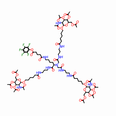 CC(=O)NC1C(OCCCCCC(=O)NCCCNC(=O)CN(CC(=O)NCCCNC(=O)CCCCCOC2OC(COC(C)=O)C(OC(C)=O)C(OC(C)=O)C2NC(C)=O)C(CCCCNC(=O)CCCC(=O)Oc2c(F)c(F)c(F)c(F)c2F)C(=O)NCCCNC(=O)CCCCCOC2OC(COC(C)=O)C(OC(C)=O)C(OC(C)=O)C2NC(C)=O)OC(COC(C)=O)C(OC(C)=O)C1OC(C)=O